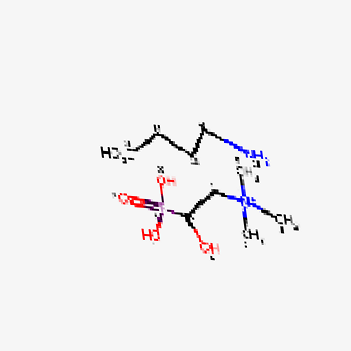 C[N+](C)(C)CC(O)P(=O)(O)O.NCCCC(=O)O